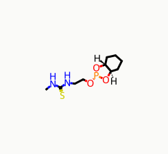 CNC(=S)NCCOP1O[C@@H]2CCCC[C@H]2O1